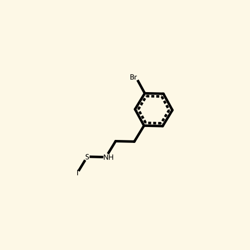 Brc1cccc(CCNSI)c1